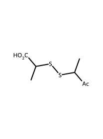 CC(=O)C(C)SSC(C)C(=O)O